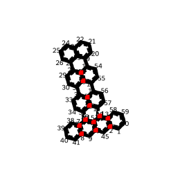 c1ccc(N(c2ccccc2)c2ccc(-c3ccc(-c4cccc5cccc(-c6ccc(-c7ccc(N(c8ccccc8)c8ccccc8)cc7)cc6)c45)cc3)cc2)cc1